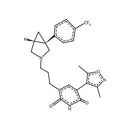 Cc1noc(C)c1-c1cn(CCCN2C[C@@H]3C[C@]3(c3ccc(C(F)(F)F)cc3)C2)c(=O)[nH]c1=O